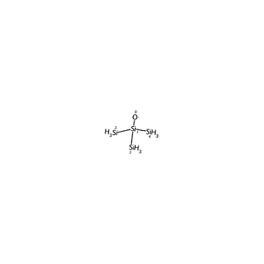 [O][Si]([SiH3])([SiH3])[SiH3]